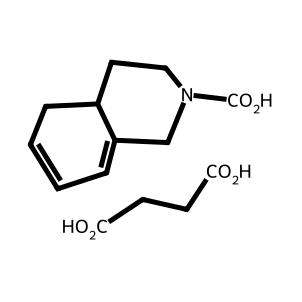 O=C(O)CCC(=O)O.O=C(O)N1CCC2CC=CC=C2C1